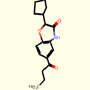 O=C(O)CCC(=O)c1ccc2c(c1)NC(=O)C(C1CCCC1)O2